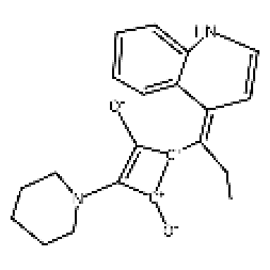 CCC(=C1C=CNc2ccccc21)[c+]1c([O-])c(N2CCCCC2)[c+]1[O-]